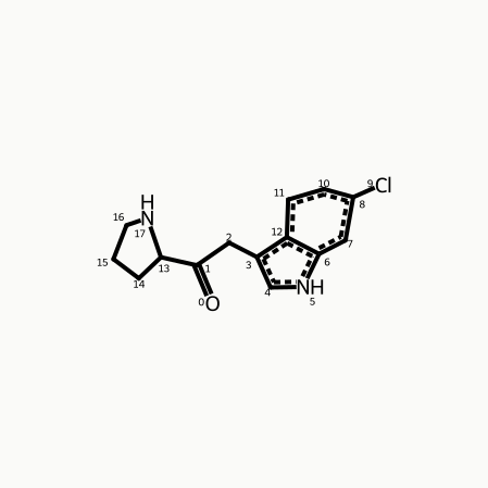 O=C(Cc1c[nH]c2cc(Cl)ccc12)C1CCCN1